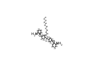 CCCCCCCCCCCCCC(C)(c1ccc(Oc2ccccc2N)cc1)c1ccc(Oc2ccccc2N)cc1